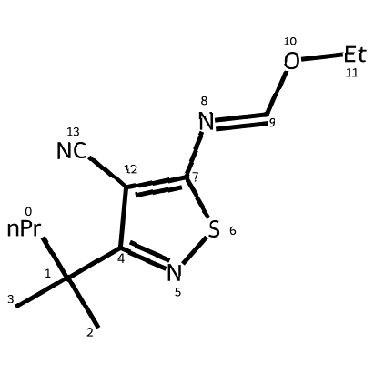 CCCC(C)(C)c1nsc(N=COCC)c1C#N